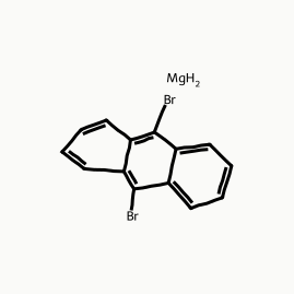 Brc1c2ccccc2c(Br)c2ccccc12.[MgH2]